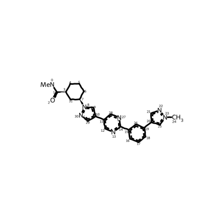 CNC(=O)[C@H]1CCC[C@@H](n2cc(-c3cnc(-c4cccc(-c5cnn(C)c5)c4)nc3)cn2)C1